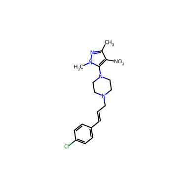 Cc1nn(C)c(N2CCN(CC=Cc3ccc(Cl)cc3)CC2)c1[N+](=O)[O-]